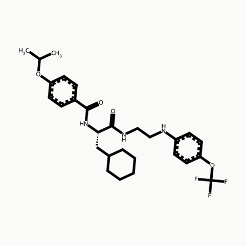 CC(C)Oc1ccc(C(=O)N[C@@H](CC2CCCCC2)C(=O)NCCNc2ccc(OC(F)(F)F)cc2)cc1